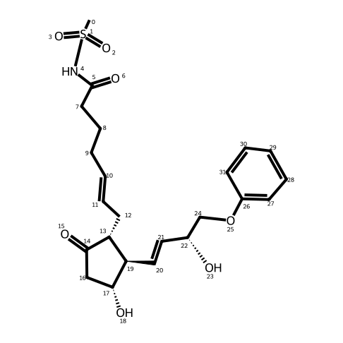 CS(=O)(=O)NC(=O)CCCC=CC[C@H]1C(=O)C[C@@H](O)[C@@H]1C=C[C@@H](O)COc1ccccc1